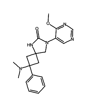 COc1ncncc1N1CC2(CC(c3ccccc3)(N(C)C)C2)NC1=O